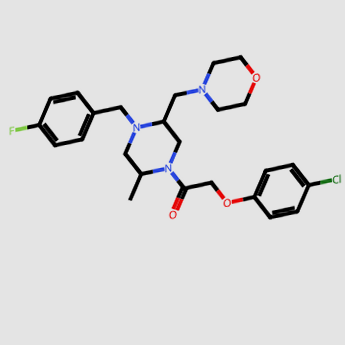 CC1CN(Cc2ccc(F)cc2)C(CN2CCOCC2)CN1C(=O)COc1ccc(Cl)cc1